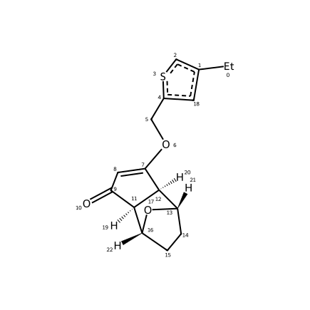 CCc1csc(COC2=CC(=O)[C@H]3[C@@H]2[C@@H]2CC[C@H]3O2)c1